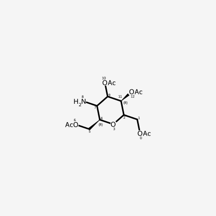 CC(=O)OCC1O[C@@H](COC(C)=O)C(N)C(OC(C)=O)[C@H]1OC(C)=O